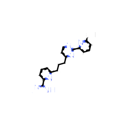 Cc1cccc(-c2nccc(CCCc3cccc(C(=N)N)n3)n2)n1